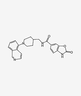 O=C(NCC1CCN(c2cccc3cnccc23)CC1)c1ccc2[nH]c(=O)oc2c1